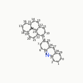 c1ccc2nc3ccc(-c4ccc5ccc6cccc7ccc4c5c67)cc3cc2c1